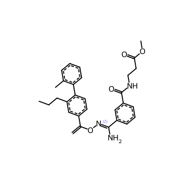 C=C(O/N=C(\N)c1cccc(C(=O)NCCC(=O)OC)c1)c1ccc(-c2ccccc2C)c(CCC)c1